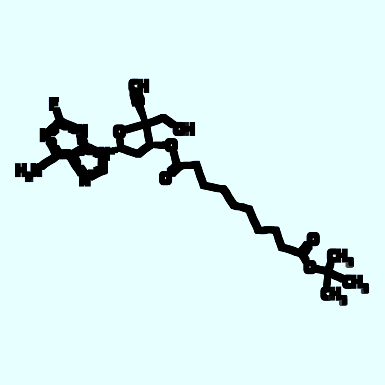 C#C[C@]1(CO)O[C@@H](n2cnc3c(N)nc(F)nc32)C[C@@H]1OC(=O)CCCCCCCCC(=O)OC(C)(C)C